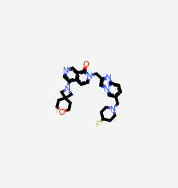 O=c1c2cncc(N3CC4(CCOCC4)C3)c2ccn1Cc1cn2cc(CN3CCC(F)CC3)ccc2n1